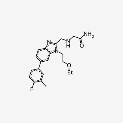 CCOCCn1c(CNCC(N)=O)nc2ccc(-c3ccc(F)c(C)c3)cc21